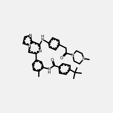 Cc1ccc(-c2cn3ccnc3c(Nc3ccc(CC(=O)N4CCN(C)CC4)cc3)n2)cc1NC(=O)c1ccc(C(C)(C)C)cc1